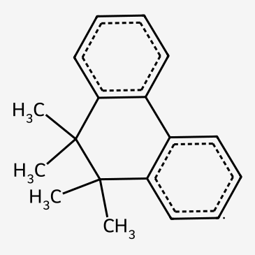 CC1(C)c2c[c]ccc2-c2ccccc2C1(C)C